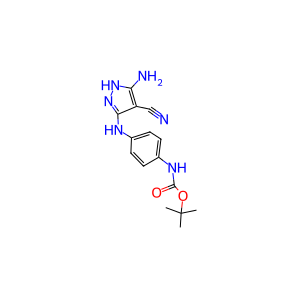 CC(C)(C)OC(=O)Nc1ccc(Nc2n[nH]c(N)c2C#N)cc1